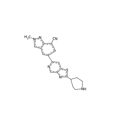 Cn1cc2cc(-c3cc4sc(C5CCNCC5)nc4cn3)cc(C#N)c2n1